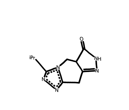 CC(C)c1nnc2n1CC1C(=O)NN=C1C2